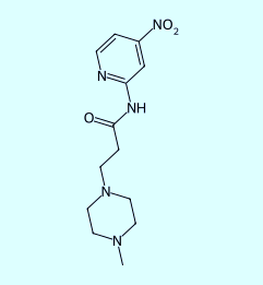 CN1CCN(CCC(=O)Nc2cc([N+](=O)[O-])ccn2)CC1